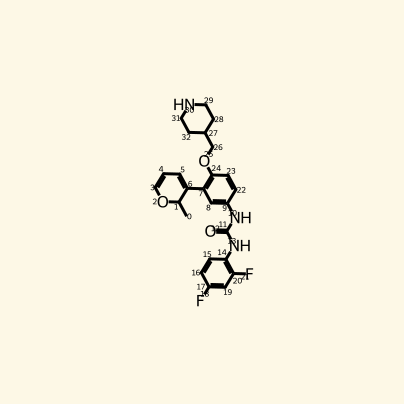 CC1OC=CC=C1c1cc(NC(=O)Nc2ccc(F)cc2F)ccc1OCC1CCNCC1